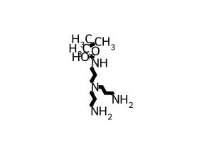 CC(C)(C)O[C@@H](O)NCCCN(CCCN)CCCN